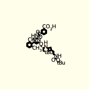 Cc1cccc(C)c1-c1cc(OC[C@@H](CC(C)(C)C)NC2CC(CCNC(=O)OC(C)(C)C)C2)nc(NS(=O)(=O)c2cccc(C(=O)O)c2)n1